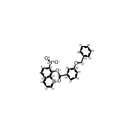 O=C(Oc1c([N+](=O)[O-])ccc2cccnc12)c1cccc(OCc2ccccc2)c1